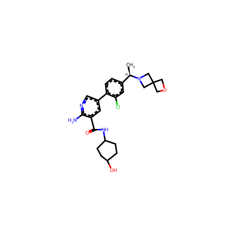 C[C@H](c1ccc(-c2cnc(N)c(C(=O)NC3CCC(O)CC3)c2)c(Cl)c1)N1CC2(COC2)C1